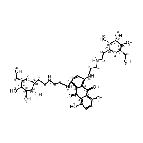 O=C1c2c(O)ccc(O)c2C(=O)c2c(NCCNCC[C@@H]3O[C@H](CO)[C@H](O)[C@H](O)[C@H]3O)ccc(NCCNCC[C@@H]3O[C@H](CO)[C@H](O)[C@H](O)[C@H]3O)c21